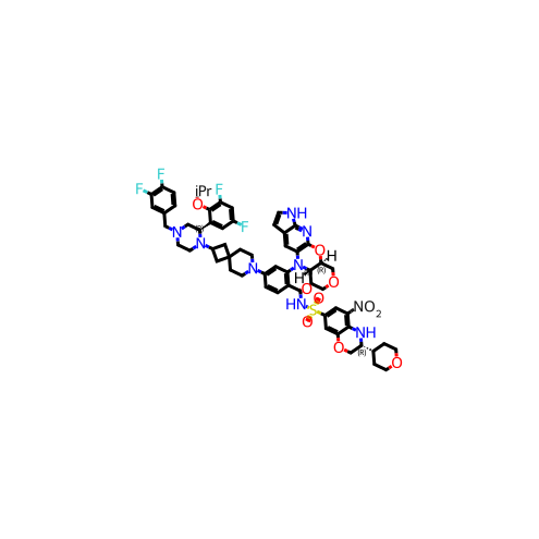 CC(C)Oc1c(F)cc(F)cc1[C@@H]1CN(Cc2ccc(F)c(F)c2)CCN1C1CC2(CCN(c3ccc(C(=O)NS(=O)(=O)c4cc5c(c([N+](=O)[O-])c4)N[C@H](C4CCOCC4)CO5)c(N4c5cc6cc[nH]c6nc5O[C@H]5COCC[C@@H]54)c3)CC2)C1